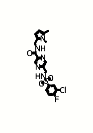 Cc1ccc(CNC(=O)c2cnc(CNS(=O)(=O)c3ccc(F)c(Cl)c3)cn2)n1C